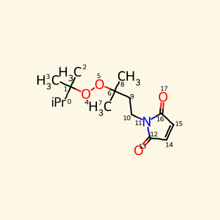 CC(C)C(C)(C)OOC(C)(C)CCN1C(=O)C=CC1=O